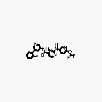 O=C(Nc1cncc(-c2ccccc2F)c1)c1ccnc(Nc2ccc(OC(F)F)nc2)n1